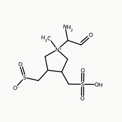 C[N+]1(C(N)C=O)CC(CS(=O)[O-])C(CS(=O)(=O)O)C1